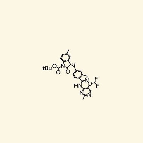 Cc1ccc2c(c1)[C@]1(C[C@H]1c1ccc3c(c1)CN=C3Nc1nc(C)ncc1OC(F)F)C(=O)N2C(=O)OC(C)(C)C